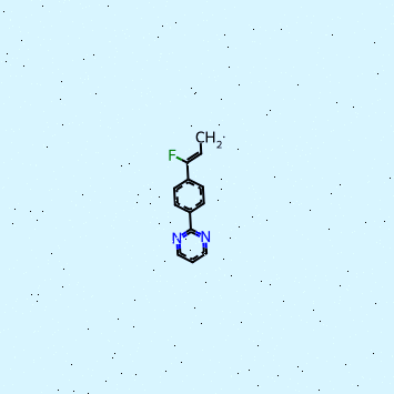 [CH2]/C=C(\F)c1ccc(-c2ncccn2)cc1